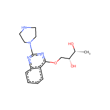 C[C@@H](O)[C@H](O)COc1nc(N2CCNCC2)nc2ccccc12